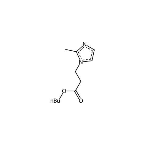 CCCCOC(=O)CCn1ccnc1C